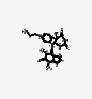 CCC1(c2ccccc2)C(=O)NC(=O)NC1=O.Cn1c(=O)c2[nH]cnc2n(C)c1=O.NCCN